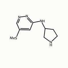 CSc1cnnc(NC2CCNC2)c1